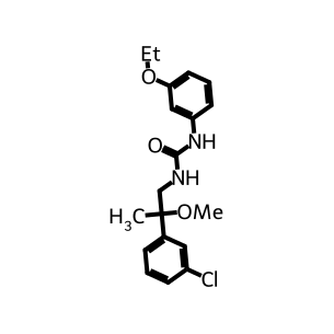 CCOc1cccc(NC(=O)NCC(C)(OC)c2cccc(Cl)c2)c1